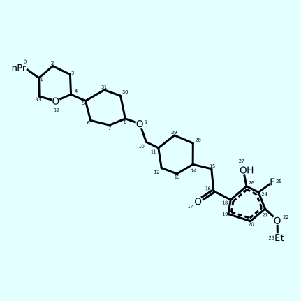 CCCC1CCC(C2CCC(OCC3CCC(CC(=O)c4ccc(OCC)c(F)c4O)CC3)CC2)OC1